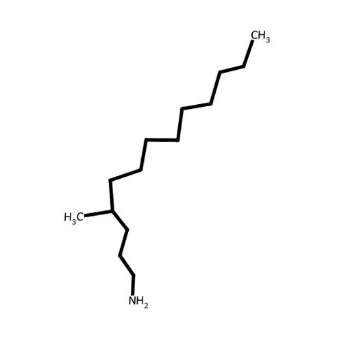 CCCCCCCCCC(C)CCCN